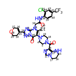 CCc1c(N2CCN(C(=O)c3ncn4c3NCCC4)CC2)c(=O)n2nc(C3=CCOCC3)nc2n1CC(=O)Nc1ccc(C(F)(F)F)cc1Cl